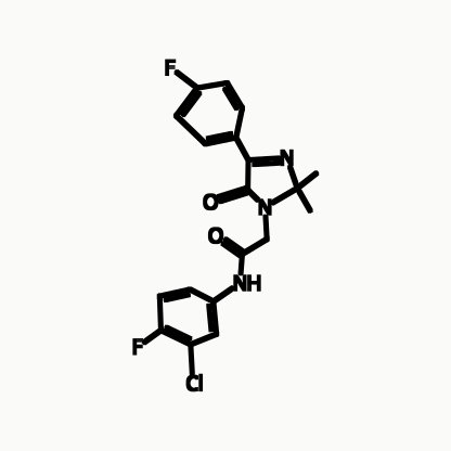 CC1(C)N=C(c2ccc(F)cc2)C(=O)N1CC(=O)Nc1ccc(F)c(Cl)c1